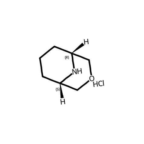 C1C[C@@H]2COC[C@H](C1)N2.Cl